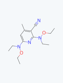 CCON(CC)c1cc(C)c(C#N)c(N(CC)OCC)n1